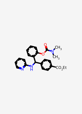 CCOC(=O)c1ccc(C(Nc2ccccn2)c2ccccc2OC(=O)N(C)C)cc1